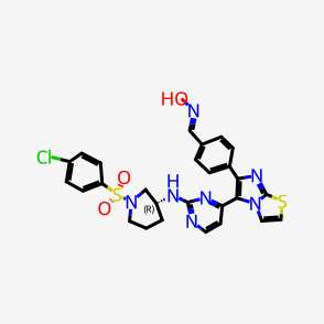 O=S(=O)(c1ccc(Cl)cc1)N1CCC[C@@H](Nc2nccc(-c3c(-c4ccc(C=NO)cc4)nc4sccn34)n2)C1